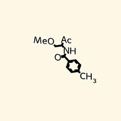 COCC(NC(=O)c1ccc(C)cc1)C(C)=O